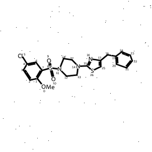 COc1ccc(Cl)cc1S(=O)(=O)N1CCN(c2nc(Cc3ccccc3)cs2)CC1